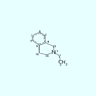 CCN1[CH]c2ccccc2CC1